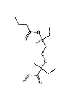 C=CC(=O)C(C)(CC)OCCC(C)(CC)OC(=O)CCC